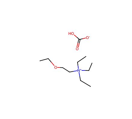 CCOCC[N+](CC)(CC)CC.O=C([O-])O